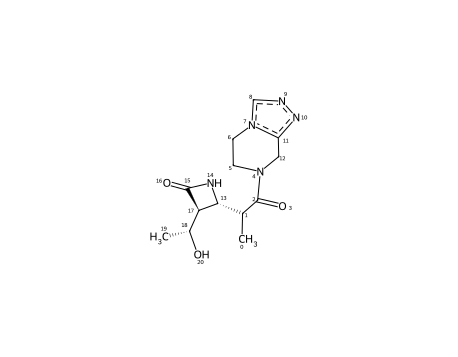 CC(C(=O)N1CCn2cnnc2C1)[C@H]1NC(=O)[C@@H]1[C@@H](C)O